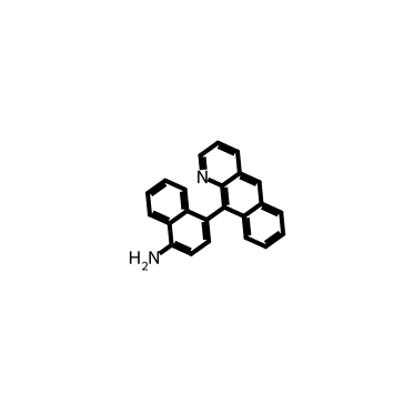 Nc1ccc(-c2c3ccccc3cc3cccnc23)c2ccccc12